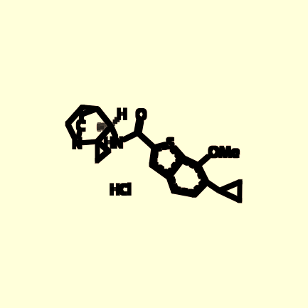 COc1c(C2CC2)ccc2cc(C(=O)N[C@@H]3C4CCN(CC4)C34CC4)sc12.Cl